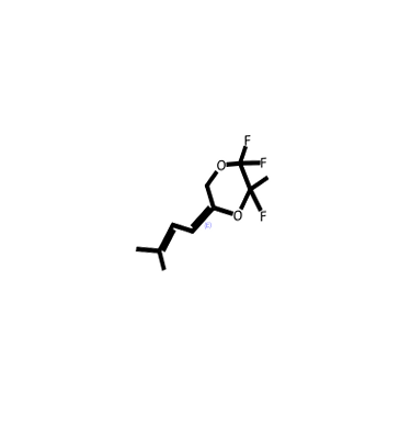 CC(C)=C/C=C1\COC(F)(F)C(C)(F)O1